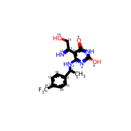 CC(Nc1nc(O)[nH]c(=O)c1C(=N)CO)c1ccc(C(F)(F)F)cc1